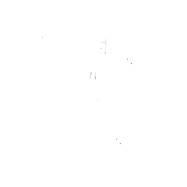 FC1(c2ccnc3[nH]c(C4CCOCC4)nc23)CCNCC1